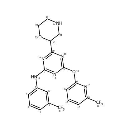 FC(F)(F)c1cccc(Nc2nc(Oc3cccc(C(F)(F)F)n3)nc(C3CNCCO3)n2)c1